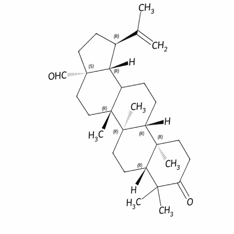 C=C(C)[C@@H]1CC[C@]2(C=O)CC[C@]3(C)C(CC[C@@H]4[C@@]5(C)CCC(=O)C(C)(C)[C@@H]5CC[C@]43C)[C@@H]12